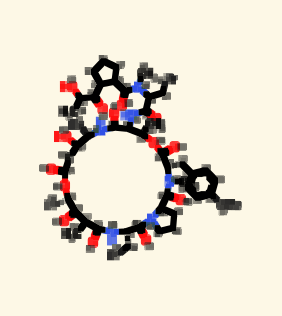 CCC(C)[C@H]1NC(=O)C(NC(=O)C(CC(C)C)N(C)C(=O)C2CCCC2C(=O)C(C)O)[C@@H](C)OC(=O)[C@H](Cc2ccc(OC)cc2)N(C)C(=O)C2CCCN2C(=O)[C@H](CC(C)C)NC(=O)C(C)C(=O)[C@H](C(C)C)OC(=O)CC1O